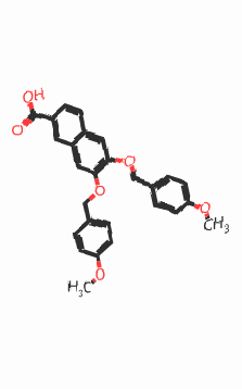 COc1ccc(COc2cc3ccc(C(=O)O)cc3cc2OCc2ccc(OC)cc2)cc1